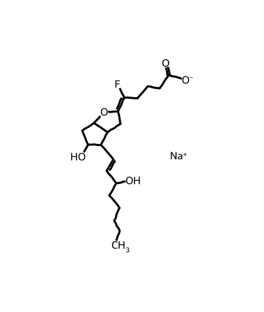 CCCCCC(O)C=CC1C(O)CC2OC(=C(F)CCCC(=O)[O-])CC21.[Na+]